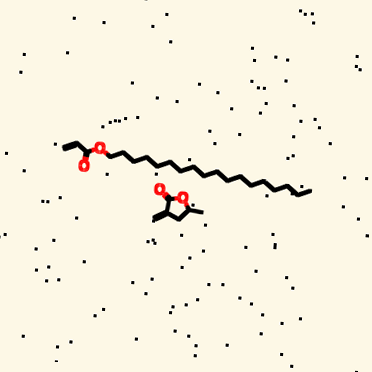 C=C1CC(C)OC1=O.C=CC(=O)OCCCCCCCCCCCCCCCCCC